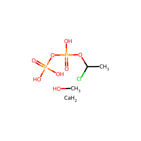 CC(Cl)OP(=O)(O)OP(=O)(O)O.CO.[CaH2]